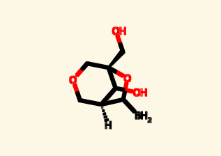 BC1O[C@@]2(CO)COC[C@H]1C2O